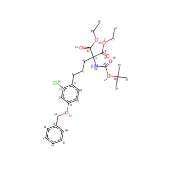 CCOC(=O)C(CCCc1ccc(OCc2ccccc2)cc1Cl)(NC(=O)OC(C)(C)C)C(=O)OCC